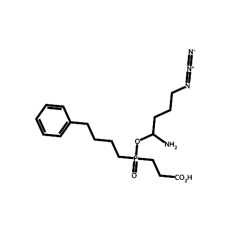 [N-]=[N+]=NCCCC(N)OP(=O)(CCCCc1ccccc1)CCC(=O)O